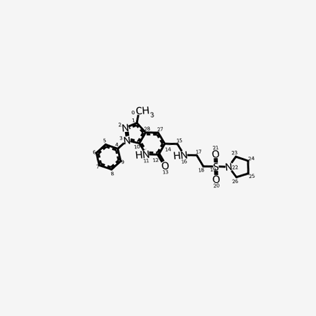 Cc1nn(-c2ccccc2)c2[nH]c(=O)c(CNCCS(=O)(=O)N3CCCC3)cc12